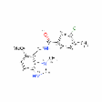 COc1ccc2c(c1CNC(=O)c1ccc(C)c(Cl)c1)N(C)CN2